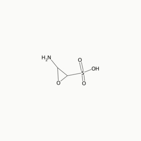 NC1OC1S(=O)(=O)O